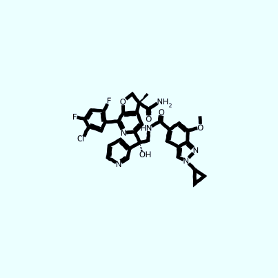 COc1cc(C(=O)NC[C@@](O)(c2cccnc2)c2cc3c(c(-c4cc(Cl)c(F)cc4F)n2)OC[C@]3(C)C(N)=O)cc2cn(C3CC3)nc12